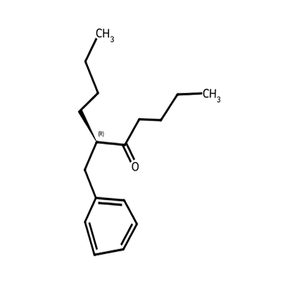 CCCCC(=O)[C@H](CCCC)Cc1ccccc1